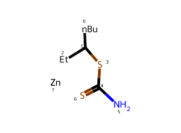 CCCCC(CC)SC(N)=S.[Zn]